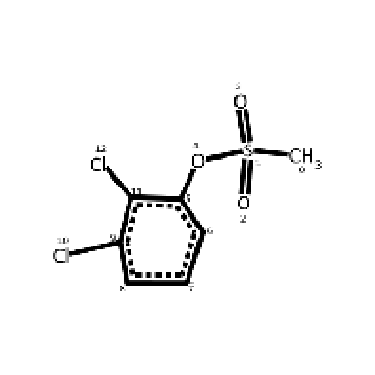 CS(=O)(=O)Oc1c[c]cc(Cl)c1Cl